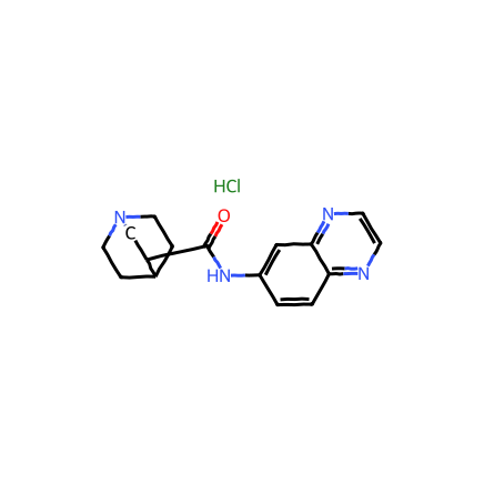 Cl.O=C(Nc1ccc2nccnc2c1)C1CN2CCC1CC2